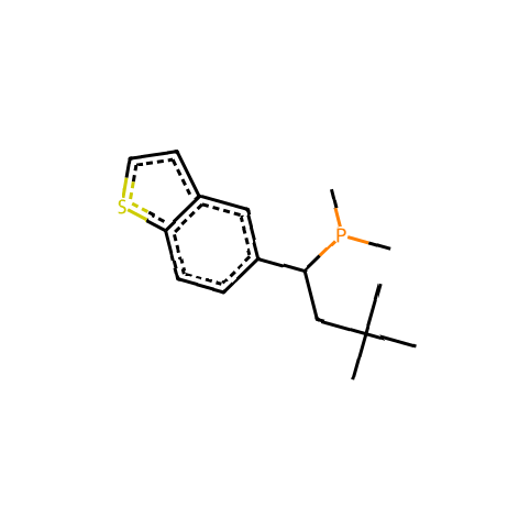 CP(C)C(CC(C)(C)C)c1ccc2sccc2c1